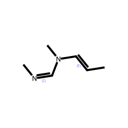 C/C=C/N(C)/C=N\C